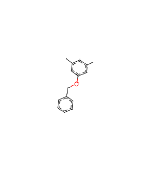 Cc1[c]c(C)cc(OCc2ccccc2)c1